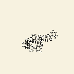 O=C(ONCc1ncc(-c2cccc(NC(=O)N3c4nc(-c5cccc(C(F)(F)F)c5)ccc4N4CC[C@H]3C4)c2)o1)c1ccccc1